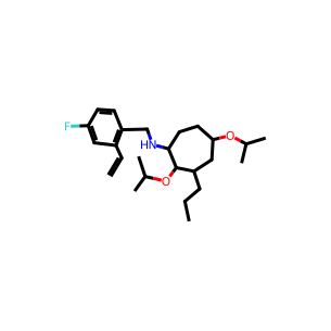 C=Cc1cc(F)ccc1CNC1CCC(OC(C)C)CC(CCC)C1OC(C)C